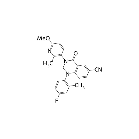 COc1ccc(N2CN(c3ccc(F)cc3C)c3ccc(C#N)cc3C2=O)c(C)n1